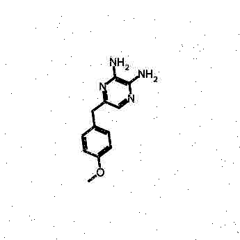 COc1ccc(Cc2cnc(N)c(N)n2)cc1